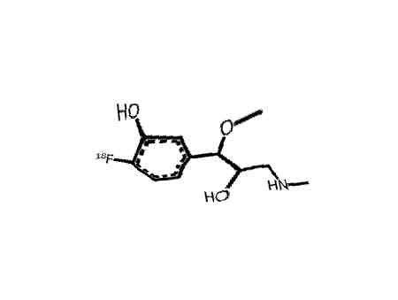 CNCC(O)C(OC)c1ccc([18F])c(O)c1